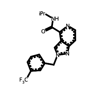 CC(C)NC(=O)c1nccc2nn(Cc3cccc(C(F)(F)F)c3)cc12